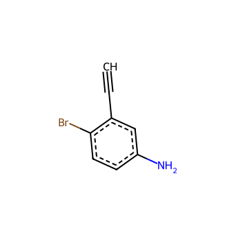 C#Cc1cc(N)ccc1Br